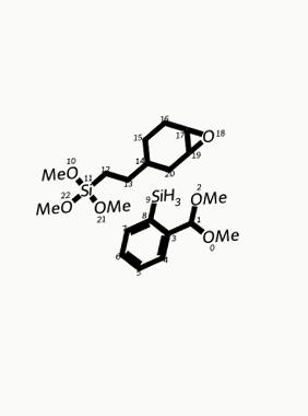 COC(OC)c1ccccc1[SiH3].CO[Si](CCC1CCC2OC2C1)(OC)OC